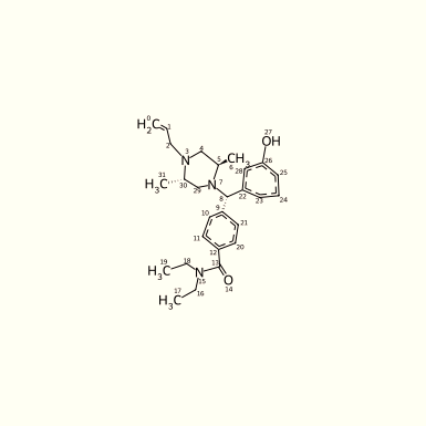 C=CCN1C[C@@H](C)N([C@@H](c2ccc(C(=O)N(CC)CC)cc2)c2cccc(O)c2)C[C@@H]1C